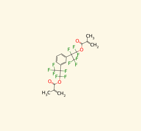 C=C(C)C(=O)OC(F)(F)C(F)(c1cccc(C(F)(C(F)(F)F)C(F)(F)OC(=O)C(=C)C)c1)C(F)(F)F